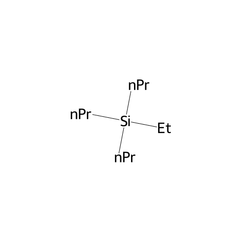 CCC[Si](CC)(CCC)CCC